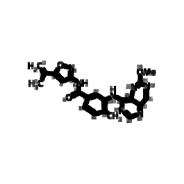 C=C(C)c1cc(NC(=O)c2ccc(C)c(Nc3ncnc4cnc(OC)nc34)c2)no1